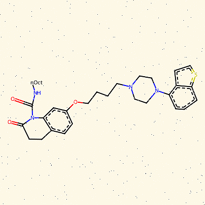 CCCCCCCCNC(=O)N1C(=O)CCc2ccc(OCCCCN3CCN(c4cccc5sccc45)CC3)cc21